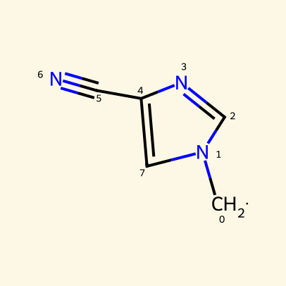 [CH2]n1cnc(C#N)c1